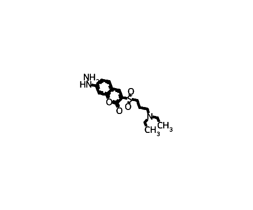 CCN(CC)CCCS(=O)(=O)c1cc2ccc(NN)cc2oc1=O